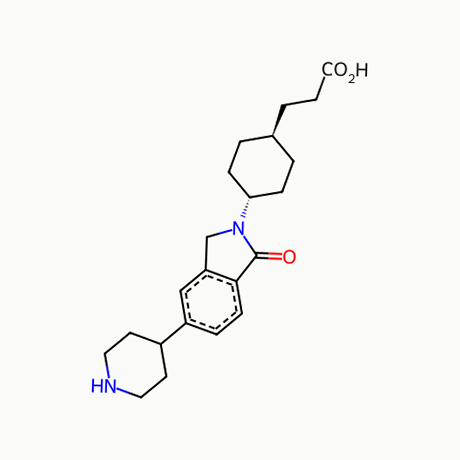 O=C(O)CC[C@H]1CC[C@H](N2Cc3cc(C4CCNCC4)ccc3C2=O)CC1